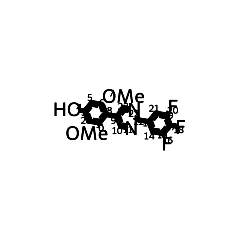 COc1cc(O)cc(OC)c1-c1cnc(-c2cc(F)c(F)c(F)c2)nc1